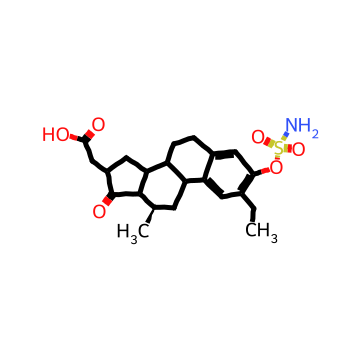 CCc1cc2c(cc1OS(N)(=O)=O)CCC1C2C[C@@H](C)C2C(=O)C(CC(=O)O)CC12